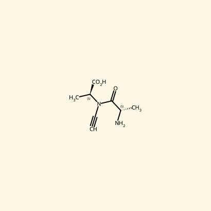 C#CN(C(=O)[C@H](C)N)[C@@H](C)C(=O)O